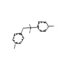 FC(F)(Cc1ccc(Br)cc1)c1ccc(Br)cc1